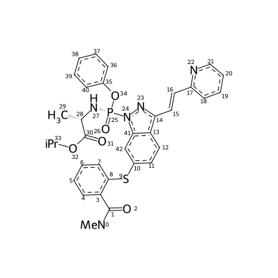 CNC(=O)c1ccccc1Sc1ccc2c(/C=C/c3ccccn3)nn([P@](=O)(N[C@@H](C)C(=O)OC(C)C)Oc3ccccc3)c2c1